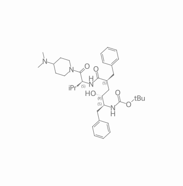 CC(C)[C@H](NC(=O)[C@@H](Cc1ccccc1)C[C@@H](O)[C@H](Cc1ccccc1)NC(=O)OC(C)(C)C)C(=O)N1CCC(N(C)C)CC1